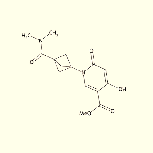 COC(=O)c1cn(C23CC(C(=O)N(C)C)(C2)C3)c(=O)cc1O